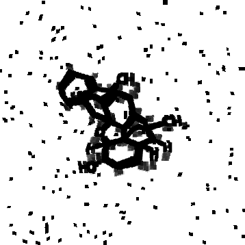 CCc1ccccc1CC12O[C@H]3[C@@H](O)C=C[C@H]4[C@H]5CC(=C1[C@]43CCN5C)CC=C2O